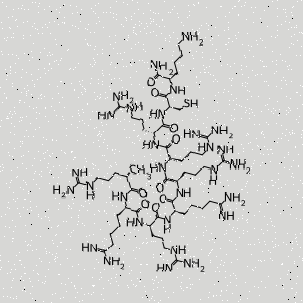 C[C@H](CCCNC(=N)N)C(=O)N[C@H](CCCCC(=N)N)C(=O)N[C@H](CCCNC(=N)N)C(=O)N[C@H](CCCCC(=N)N)C(=O)N[C@H](CCCNC(=N)N)C(=O)N[C@H](CCCNC(=N)N)C(=O)N[C@H](CCCNC(=N)N)C(=O)N[C@H](CS)C(=O)N[C@H](CCCCN)C(N)=O